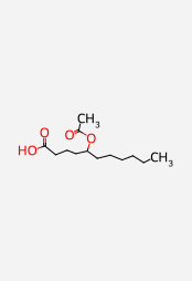 CCCCCCC(CCCC(=O)O)OC(C)=O